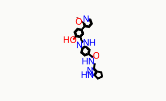 COc1ncccc1-c1ccc(O)c(-c2nc3ccc(C(=O)NCc4n[nH]c5c4CCC5)cc3[nH]2)c1